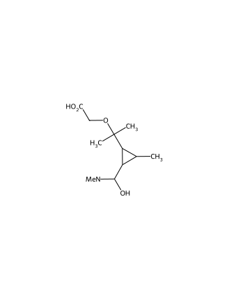 CNC(O)C1C(C)C1C(C)(C)OCC(=O)O